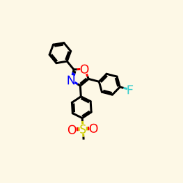 CS(=O)(=O)c1ccc(-c2nc(-c3ccccc3)oc2-c2ccc(F)cc2)cc1